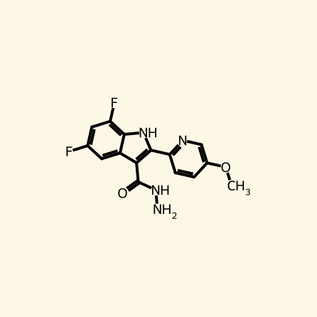 COc1ccc(-c2[nH]c3c(F)cc(F)cc3c2C(=O)NN)nc1